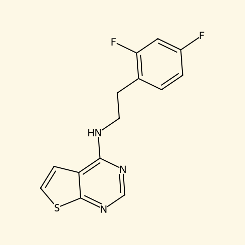 Fc1ccc(CCNc2ncnc3sccc23)c(F)c1